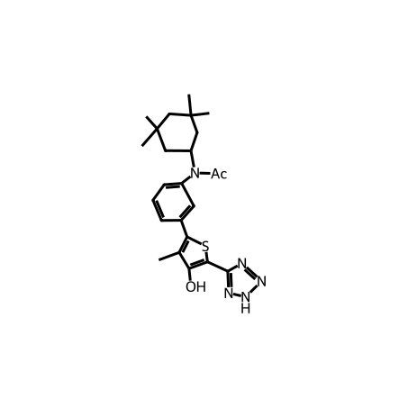 CC(=O)N(c1cccc(-c2sc(-c3nn[nH]n3)c(O)c2C)c1)C1CC(C)(C)CC(C)(C)C1